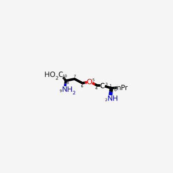 CCCC(=N)CCOCCC(N)C(=O)O